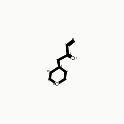 C=CC(=O)CC1CCOCC1